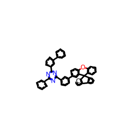 c1ccc(-c2cccc(-c3nc(-c4ccccc4)nc(-c4cccc(-c5ccc6c(c5)C5(c7ccccc7O6)c6ccccc6-c6ccccc65)c4)n3)c2)cc1